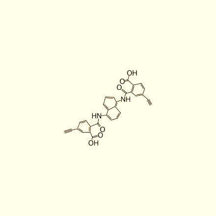 C#Cc1ccc(C(=O)Nc2cccc3c(NC(=O)c4cc(C#C)ccc4C(=O)O)cccc23)c(C(=O)O)c1